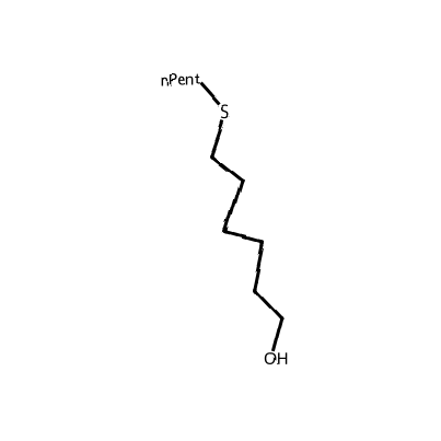 CCCCCSCCCCCCO